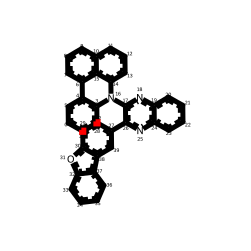 c1ccc2c(c1)-c1cccc3cccc(c13)N2c1nc2ccccc2nc1-c1ccc2oc3ccccc3c2c1